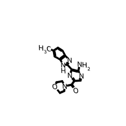 Cc1ccc2nc(-c3nc(C(=O)N4CCOCC4)cnc3N)[nH]c2c1